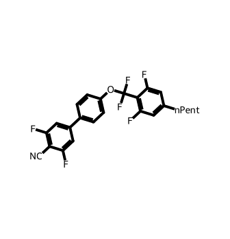 CCCCCc1cc(F)c(C(F)(F)Oc2ccc(-c3cc(F)c(C#N)c(F)c3)cc2)c(F)c1